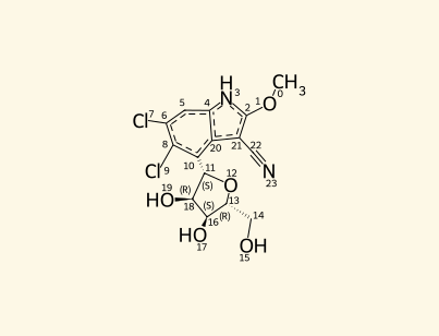 COc1[nH]c2cc(Cl)c(Cl)c([C@@H]3O[C@H](CO)[C@@H](O)[C@H]3O)c2c1C#N